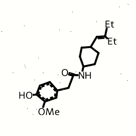 CCC(=CC1CCC(NC(=O)Cc2ccc(O)c(OC)c2)CC1)CC